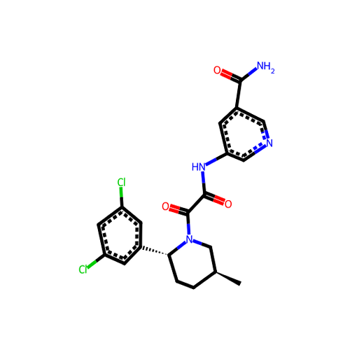 C[C@H]1CC[C@H](c2cc(Cl)cc(Cl)c2)N(C(=O)C(=O)Nc2cncc(C(N)=O)c2)C1